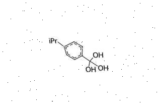 CC(C)c1ccc(C(O)(O)O)cc1